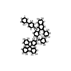 c1ccc(-c2ccc(-n3c4ccc(N(c5ccccc5)c5ccc(C6(c7ccccc7)c7ccccc7-c7ccccc76)cc5)cc4c4c(-c5ccccc5)cc5ccccc5c43)cc2)cc1